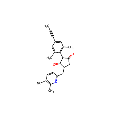 CC#Cc1cc(C)c(C2C(=O)CC(Cc3ccc(C#N)c(C)n3)C2=O)c(C)c1